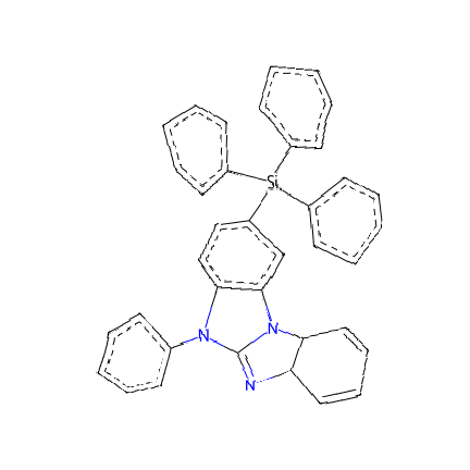 C1=CC2N=C3N(c4ccccc4)c4ccc([Si](c5ccccc5)(c5ccccc5)c5ccccc5)cc4N3C2C=C1